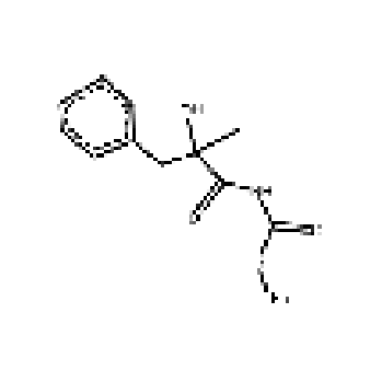 CC(C)(C)OC(=O)NC(=O)C(C)(O)Cc1ccccc1